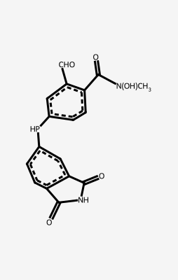 CN(O)C(=O)c1ccc(Pc2ccc3c(c2)C(=O)NC3=O)cc1C=O